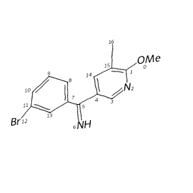 COc1ncc(C(=N)c2cccc(Br)c2)cc1C